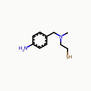 CN(CCS)Cc1ccc(N)cc1